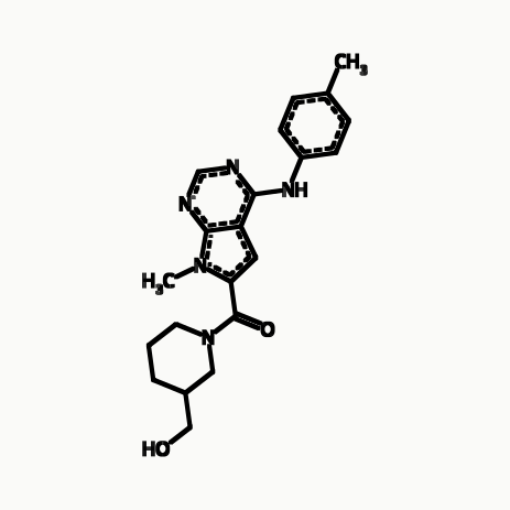 Cc1ccc(Nc2ncnc3c2cc(C(=O)N2CCCC(CO)C2)n3C)cc1